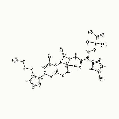 CC(C)(ON=C(C(=O)NC1C(=O)N2C(C(=O)O)=C(CSc3nnnn3CCCN)CS[C@@H]12)c1nsc(N)n1)C(=O)O